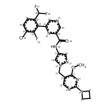 COc1nc(N2CCC2)ncc1Cn1cc(NC(=O)c2cncc(-c3c(C(F)F)ccc(Cl)c3F)n2)cn1